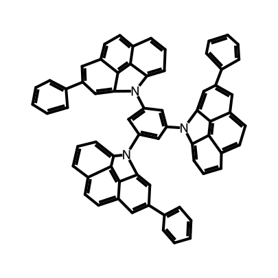 c1ccc(-c2cc3ccc4cccc5c4c3c(c2)n5-c2cc(-n3c4cccc5ccc6cc(-c7ccccc7)cc3c6c54)cc(-n3c4cccc5ccc6cc(-c7ccccc7)cc3c6c54)c2)cc1